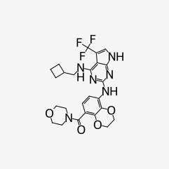 O=C(c1ccc(Nc2nc(NCC3CCC3)c3c(C(F)(F)F)c[nH]c3n2)c2c1OCCO2)N1CCOCC1